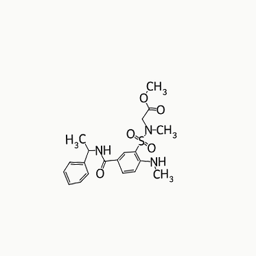 CNc1ccc(C(=O)NC(C)c2ccccc2)cc1S(=O)(=O)N(C)CC(=O)OC